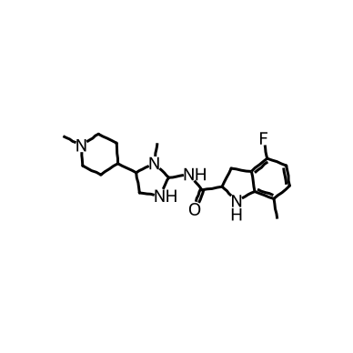 Cc1ccc(F)c2c1NC(C(=O)NC1NCC(C3CCN(C)CC3)N1C)C2